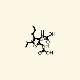 CCCc1c(CC)sc(NC(=O)O)c1NC(=O)O